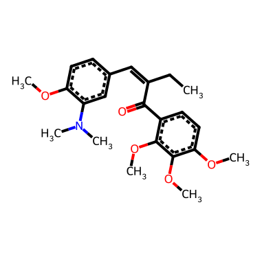 CCC(=Cc1ccc(OC)c(N(C)C)c1)C(=O)c1ccc(OC)c(OC)c1OC